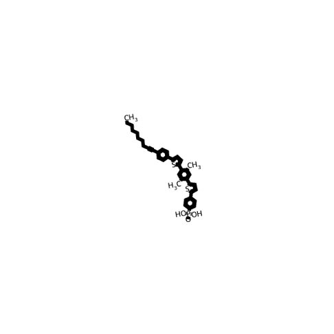 CCCCCCCCC#Cc1ccc(-c2ccc(-c3cc(C)c(-c4ccc(-c5ccc(P(=O)(O)O)cc5)s4)cc3C)s2)cc1